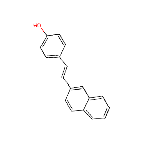 Oc1ccc(C=Cc2ccc3ccccc3c2)cc1